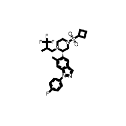 Cc1cc2c(cnn2-c2ccc(F)cc2)cc1[C@H]1CN(S(=O)(=O)C2CCC2)CCN1CC(C)C(F)(F)F